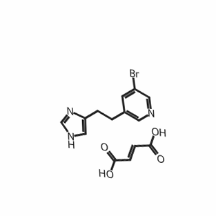 Brc1cncc(CCc2c[nH]cn2)c1.O=C(O)C=CC(=O)O